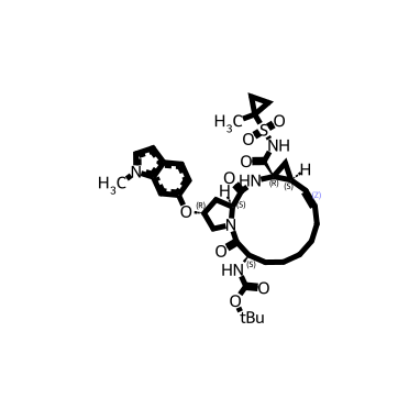 Cn1ccc2ccc(O[C@@H]3C[C@H]4C(=O)N[C@]5(C(=O)NS(=O)(=O)C6(C)CC6)C[C@H]5/C=C\CCCCC[C@H](NC(=O)OC(C)(C)C)C(=O)N4C3)cc21